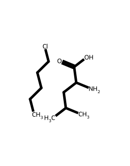 CC(C)CC(N)C(=O)O.CCCCCCl